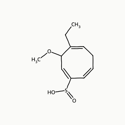 CC/C1=C/C/C=C\C(S(=O)O)=CC1OC